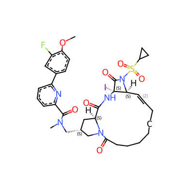 COc1ccc(-c2cccc(C(=O)N(C)C[C@@H]3C[C@H]4C(=O)N[C@@]5(I)C(=O)N(S(=O)(=O)C6CC6)[C@H]5/C=C\CCCCCCC(=O)N4C3)n2)cc1F